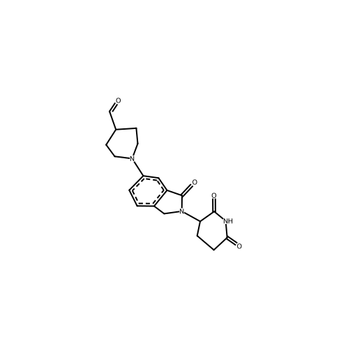 O=CC1CCN(c2ccc3c(c2)C(=O)N(C2CCC(=O)NC2=O)C3)CC1